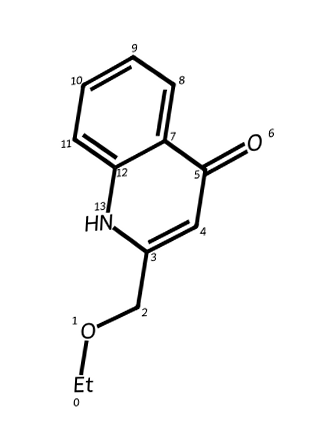 CCOCc1cc(=O)c2ccccc2[nH]1